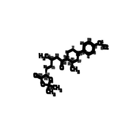 CCOc1ccc(N2CCN(C(=O)CC(C)CC[C@@H]3OC(C)(C)OC3=O)[C@H](C)C2)cc1